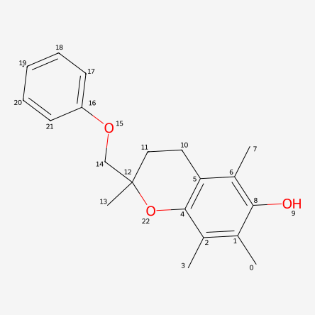 Cc1c(C)c2c(c(C)c1O)CCC(C)(COc1cc[c]cc1)O2